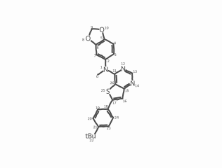 CN(c1ccc2c(c1)OCO2)c1ncnc2cc(-c3ccc(C(C)(C)C)cc3)sc12